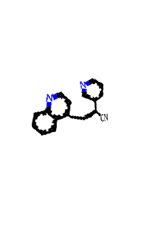 N#CC(=Cc1ccnc2ccccc12)c1cccnc1